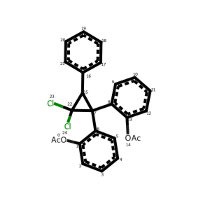 CC(=O)Oc1ccccc1C1(c2ccccc2OC(C)=O)C(c2ccccc2)C1(Cl)Cl